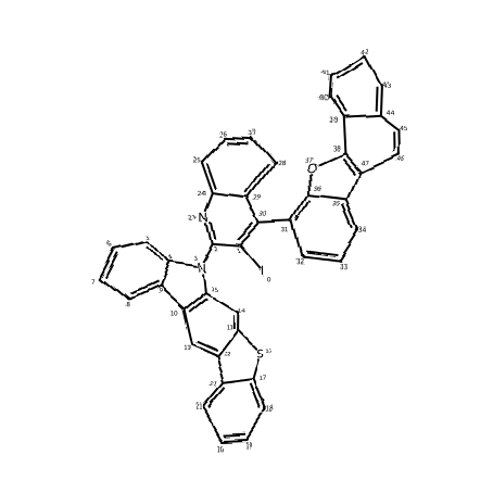 Ic1c(-n2c3ccccc3c3cc4c(cc32)sc2ccccc24)nc2ccccc2c1-c1cccc2c1oc1c3ccccc3ccc21